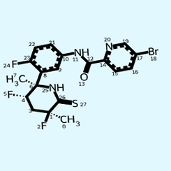 C[C@]1(F)C[C@H](F)[C@@](C)(c2cc(NC(=O)c3ccc(Br)cn3)ccc2F)NC1=S